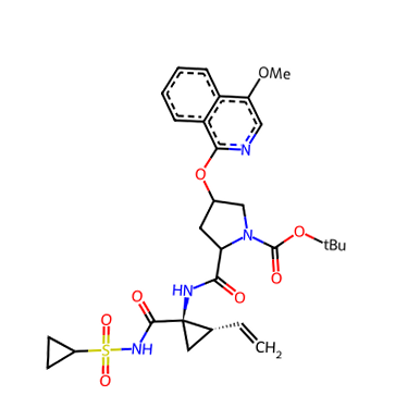 C=C[C@@H]1C[C@]1(NC(=O)C1CC(Oc2ncc(OC)c3ccccc23)CN1C(=O)OC(C)(C)C)C(=O)NS(=O)(=O)C1CC1